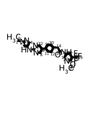 CCn1cc(Nc2ncc(-c3ccc(CC(=O)Nc4cnc(OC)c(C(F)(F)F)c4)cc3)cn2)cn1